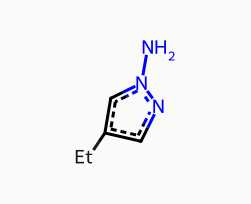 CCc1cnn(N)c1